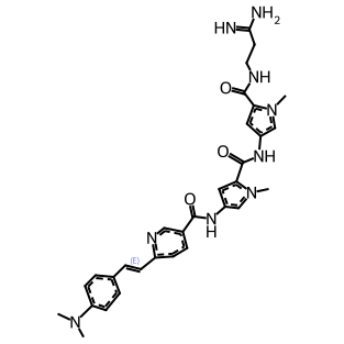 CN(C)c1ccc(/C=C/c2ccc(C(=O)Nc3cc(C(=O)Nc4cc(C(=O)NCCC(=N)N)n(C)c4)n(C)c3)cn2)cc1